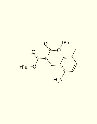 Cc1ccc(N)c(CN(C(=O)OC(C)(C)C)C(=O)OC(C)(C)C)c1